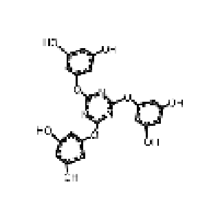 Oc1cc(O)cc(Oc2nc(Oc3cc(O)cc(O)c3)nc(Oc3cc(O)cc(O)c3)n2)c1